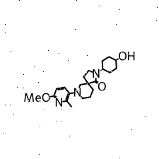 COc1ccc(N2CCCC3(CCN([C@H]4CC[C@H](O)CC4)C3=O)C2)c(C)n1